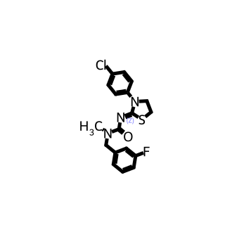 CN(Cc1cccc(F)c1)C(=O)/N=C1\SCCN1c1ccc(Cl)cc1